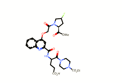 CCOC(=O)N1CCN(C(=O)C(CCC(=O)O)NC(=O)c2cc(OCC(=O)N3C[C@@H](F)C[C@H]3C(=O)OC)c3ccccc3n2)CC1